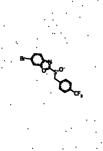 [O-][S+](Cc1ccc(C(F)(F)F)cc1)c1nc2ccc(Br)cc2o1